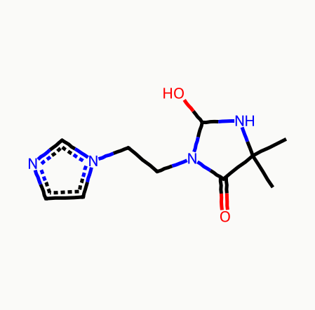 CC1(C)NC(O)N(CCn2ccnc2)C1=O